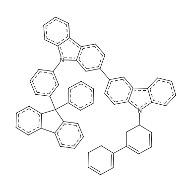 C1=CCCC(C2=CC=CC(n3c4ccccc4c4cc(-c5ccc6c7ccccc7n(-c7cccc(C8(c9ccccc9)c9ccccc9-c9ccccc98)c7)c6c5)ccc43)C2)=C1